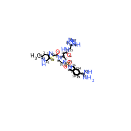 CC1Cc2nc(C(=O)N3CCN(S(=O)(=O)n4cc5ccc(C(=N)N)cc5c4)CC3CC(=O)NCc3nnn[nH]3)sc2CN1